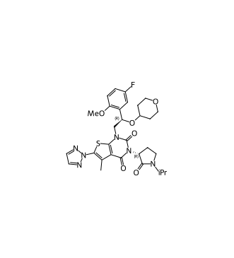 COc1ccc(F)cc1[C@H](Cn1c(=O)n([C@@H]2CCN(C(C)C)C2=O)c(=O)c2c(C)c(-n3nccn3)sc21)OC1CCOCC1